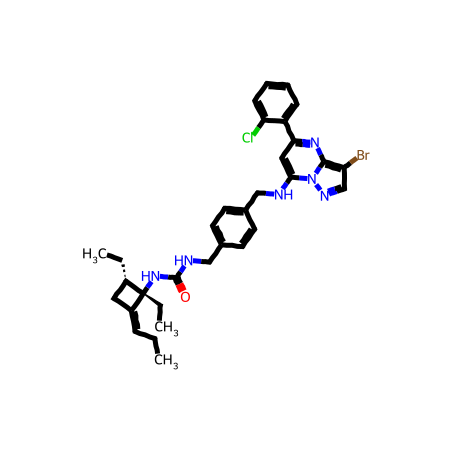 CC/C=C1/C[C@H](CC)[C@]1(CC)NC(=O)NCc1ccc(CNc2cc(-c3ccccc3Cl)nc3c(Br)cnn23)cc1